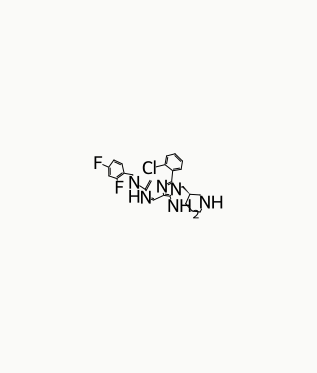 C=C(/N=C\c1nc(-c2ccccc2Cl)n(C[C@@H]2CCCNC2)c1N)NCc1ccc(F)cc1F